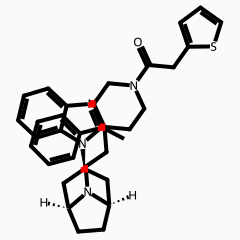 Cc1nc2ccccc2n1[C@H]1C[C@H]2CC[C@@H](C1)N2CCC1(c2ccccc2)CCN(C(=O)Cc2cccs2)CC1